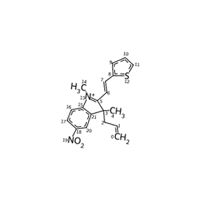 C=CCC1(C)C(/C=C/c2cccs2)=[N+](C)c2ccc([N+](=O)[O-])cc21